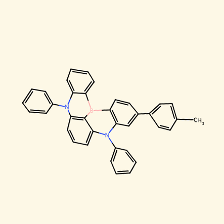 Cc1ccc(-c2ccc3c(c2)N(c2ccccc2)c2cccc4c2B3c2ccccc2N4c2ccccc2)cc1